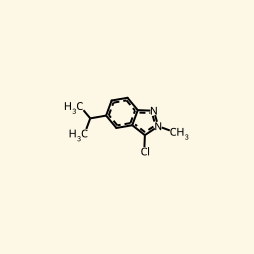 CC(C)c1ccc2nn(C)c(Cl)c2c1